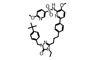 CCn1c(CCCc2ccc(-c3ccc(OC)c(NS(=O)(=O)c4ccc(OC)nc4)n3)cc2)nn(Cc2ccc(C(C)(C)C)cc2)c1=O